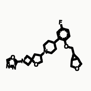 Fc1ccc(OCC2C3COCC32)c(C2CCN(C3COC4(C3)CN(c3nnco3)C4)CC2)c1